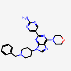 Nc1ncc(-c2nc(N3CCOCC3)c3ncn(C4CCN(Cc5ccccc5)CC4)c3n2)cn1